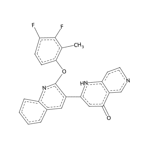 Cc1c(Oc2nc3ccccc3cc2-c2cc(=O)c3cnccc3[nH]2)ccc(F)c1F